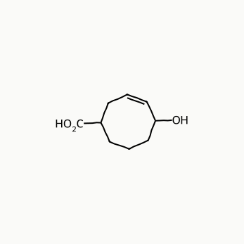 O=C(O)C1C/C=C\C(O)CCC1